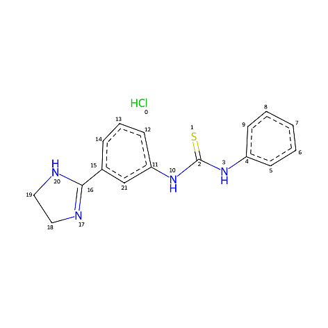 Cl.S=C(Nc1ccccc1)Nc1cccc(C2=NCCN2)c1